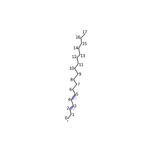 [CH2]C/C=C/C=C/CCCCCCCCCCCC